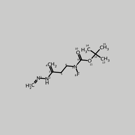 C=NNC(=C)CCN(F)C(=O)OC(C)(C)C